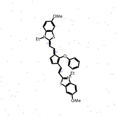 CCN1/C(=C/C=C2\C=CC(/C=C/c3sc4cc(OC)ccc4[n+]3CC)=C2Oc2ccccc2)Sc2cc(OC)ccc21